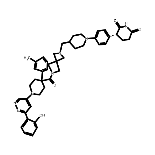 Cc1cccc(C2(C(=O)N3CC4(CN(CC5CCN(c6ccc([C@H]7CCC(=O)NC7=O)cc6)CC5)C4)C3)CCN(c3cnnc(-c4ccccc4O)c3)CC2)c1